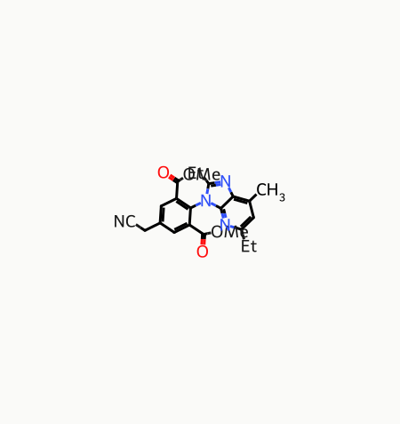 CCc1cc(C)c2nc(CC)n(-c3c(C(=O)OC)cc(CC#N)cc3C(=O)OC)c2n1